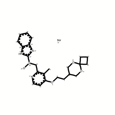 Cc1c(OCCC2COC3(CCC3)OC2)ccnc1C[S+]([O-])c1nc2ccccc2[nH]1.[Na]